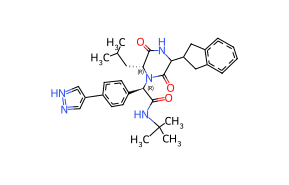 CC(C)C[C@@H]1C(=O)NC(C2Cc3ccccc3C2)C(=O)N1[C@@H](C(=O)NC(C)(C)C)c1ccc(-c2cn[nH]c2)cc1